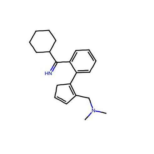 CN(C)CC1=C(c2ccccc2C(=N)C2CCCCC2)CC=C1